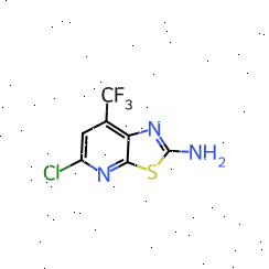 Nc1nc2c(C(F)(F)F)cc(Cl)nc2s1